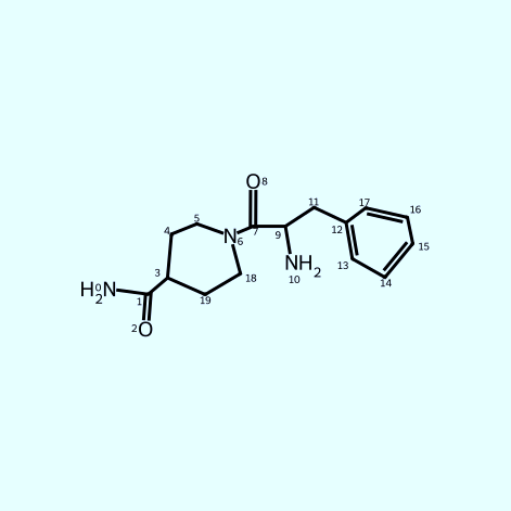 NC(=O)C1CCN(C(=O)C(N)Cc2ccccc2)CC1